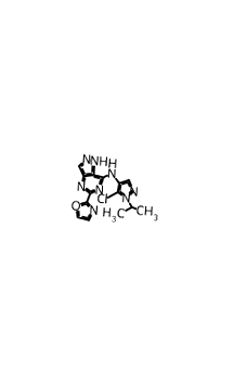 CC(C)n1ncc(Nc2nc(-c3ncco3)nc3cn[nH]c23)c1Cl